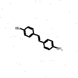 Bc1ccc(/C=C/c2ccc(C(C)(C)C)cc2)cc1